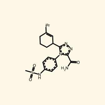 CC(C)C1=CC(c2nnc(C(N)=O)n2-c2ccc(NS(C)(=O)=O)cc2)CCC1